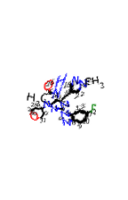 CN(c1nc(-n2cnc3ccc(F)cc32)nc(-c2cnn(C)c2)c1NC=O)C1CCOCC1